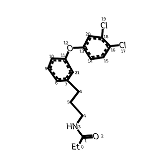 CCC(=O)NCCCc1cccc(Oc2ccc(Cl)c(Cl)c2)c1